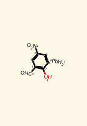 O=Cc1cc([N+](=O)[O-])ccc1O.[PbH2]